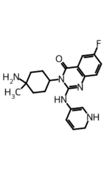 CC1(N)CCC(n2c(NC3=CNCC=C3)nc3ccc(F)cc3c2=O)CC1